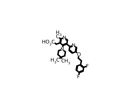 Cc1ncc(-c2ccc(OCCc3ccc(F)cc3F)cn2)c(N2CCC(C)(C)CC2)c1CC(=O)O